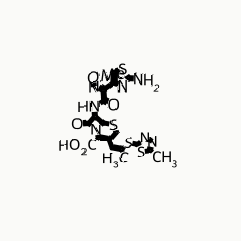 CON=C(C(=O)NC1C(=O)N2C(C(=O)O)=C(C=C(C)Sc3nnc(C)s3)CSC12)c1csc(N)n1